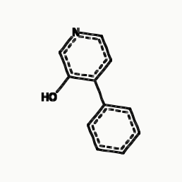 Oc1cnccc1-c1ccccc1